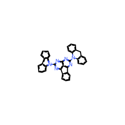 c1ccc2c(c1)Cc1ccccc1N2c1nc2c3c(nc(-n4c5ccccc5c5ccccc54)nc3n1)-c1ccccc1-2